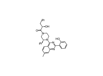 Cc1ccc2c(N3CCN(C(=O)[C@H](O)CC(C)C)C[C@@H]3C(C)C)nc(-c3ccccc3O)nc2c1